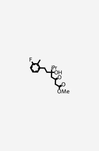 COC(=O)CC(=O)CC(O)(CCc1cccc(F)c1C)C(C)C